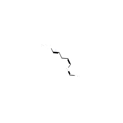 C/C=N\C=C/C/C=C/C(=O)O